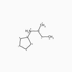 CCC(C)[SiH2]C1CCCC1